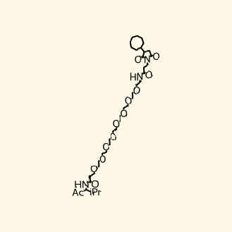 CC(=O)C(NC(=O)CCOCCOCCOCCOCCOCCOCCOCCOCCNC(=O)CCN1C(=O)CC(C2CCCCCCC2)C1=O)C(C)C